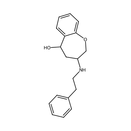 OC1CC(NCCc2ccccc2)COc2ccccc21